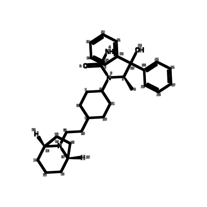 C[C@@H](N(C(N)=O)C1CCC(CCN2[C@@H]3CCC[C@H]2CC3)CC1)C(O)(c1ccccc1)c1ccccc1